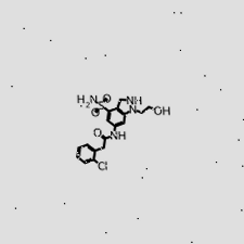 NS(=O)(=O)c1cc(NC(=O)Cc2ccccc2Cl)cc2c1CNN2CCO